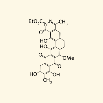 CCOC(=O)n1nc(C)c2cc3c(c(O)c2c1=O)-c1c(O)c2c(c(OC)c1CC3)C(=O)c1c(cc(O)c(C)c1O)C2=O